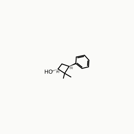 CC1(C)[C@H](O)C[C@H]1c1ccccc1